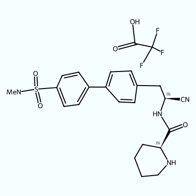 CNS(=O)(=O)c1ccc(-c2ccc(C[C@@H](C#N)NC(=O)[C@@H]3CCCCN3)cc2)cc1.O=C(O)C(F)(F)F